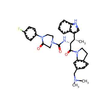 C[C@@H](c1c[nH]c2ccccc12)[C@@H](NC(=O)N1CCN(c2ccc(F)cc2)C(=O)C1)C(=O)N1CCc2ccc(CN(C)C)cc21